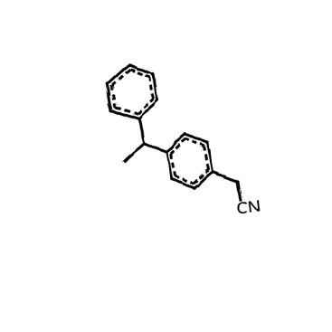 CC(c1ccccc1)c1ccc(CC#N)cc1